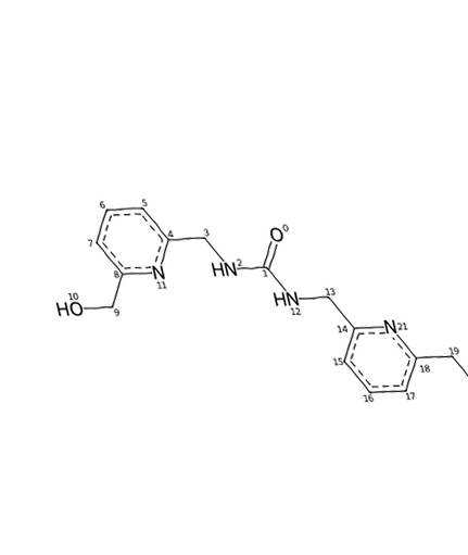 O=C(NCc1cccc(CO)n1)NCc1cccc(CO)n1